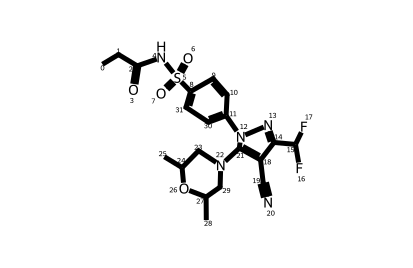 CCC(=O)NS(=O)(=O)c1ccc(-n2nc(C(F)F)c(C#N)c2N2CC(C)OC(C)C2)cc1